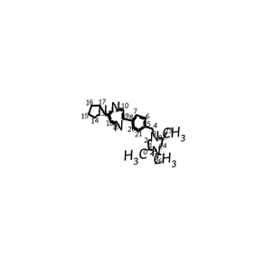 C[C@@H]1CN(Cc2ccc(-c3cnc(N4CCCC4)cn3)cc2)[C@@H](C)CN1C